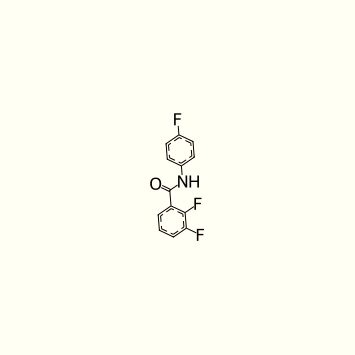 O=C(Nc1ccc(F)cc1)c1cccc(F)c1F